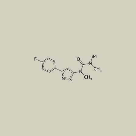 CC(C)N(C)C(=O)N(C)c1cc(-c2ccc(F)cc2)ns1